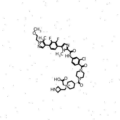 COCCn1ncc(-c2ccc(-c3cnc(C(=O)Nc4ccc(C(=O)N5CCN(C(=O)[C@H]6CC[N@@+](CC(=O)O)(CC7CNC7)CC6)CC5)c(Cl)c4)n3C)c(F)c2F)c1C